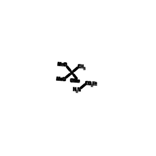 CCOC(N)=O.CO[Si](C)(OC)OC